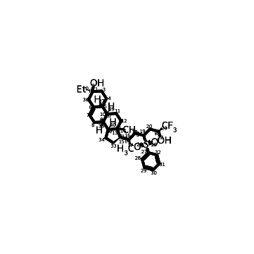 CC[C@]1(O)CC[C@H]2C(=CC[C@@H]3[C@@H]2CC[C@]2(C)[C@@H]([C@H](C)CC(C[C@H](O)C(F)(F)F)S(=O)(=O)c4ccccc4)CC[C@@H]32)C1